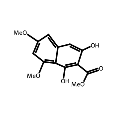 COC(=O)c1c(O)cc2cc(OC)cc(OC)c2c1O